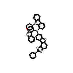 C1=CCCC(n2c3ccccc3c3cccc(N(c4ccc5c(c4)oc4ccc6nc(-c7ccccc7)oc6c45)c4cccc5sc6ccccc6c45)c32)=C1